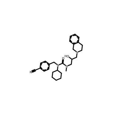 CN(CC(O)CN1CCc2ccccc2C1)C(=O)N(Cc1ccc(C#N)cc1)C1CCCCC1